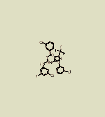 O=C(/N=C(/Nc1cc(F)cc(Cl)c1)Nc1cc(C(F)(F)F)nn1-c1cccc(Cl)c1)c1cccc(Cl)c1